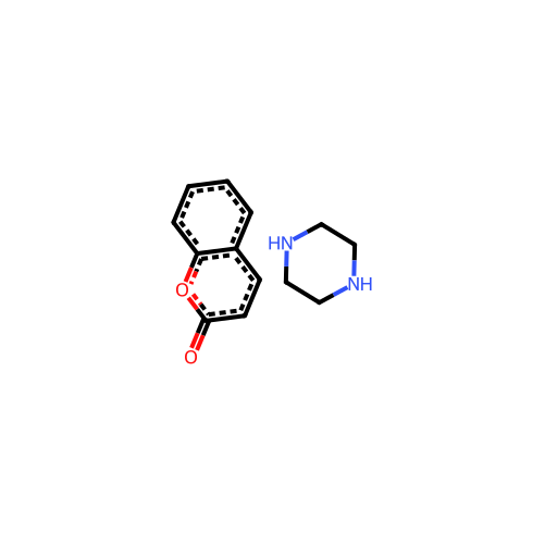 C1CNCCN1.O=c1ccc2ccccc2o1